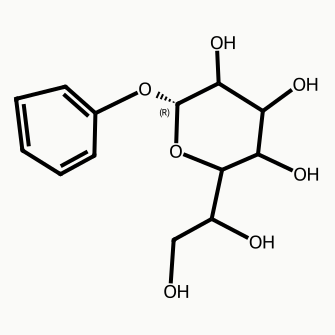 OCC(O)C1O[C@H](Oc2ccccc2)C(O)C(O)C1O